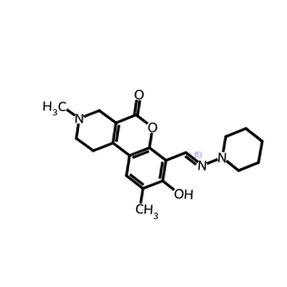 Cc1cc2c3c(c(=O)oc2c(/C=N/N2CCCCC2)c1O)CN(C)CC3